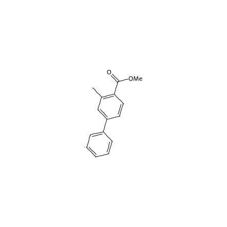 COC(=O)c1ccc(-c2c[c]ccc2)cc1C